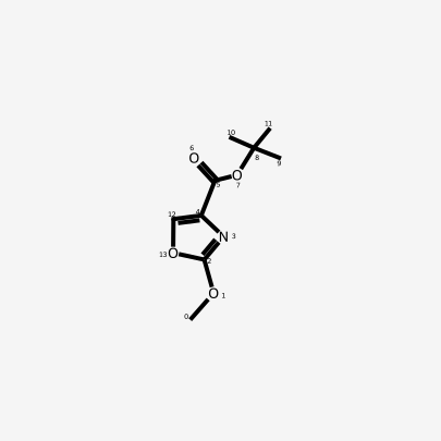 COc1nc(C(=O)OC(C)(C)C)co1